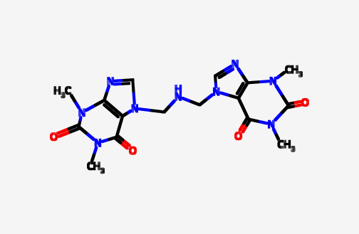 Cn1c(=O)c2c(ncn2CNCn2cnc3c2c(=O)n(C)c(=O)n3C)n(C)c1=O